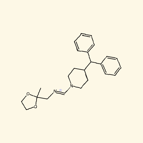 CC1(C/N=C/N2CCC(C(c3ccccc3)c3ccccc3)CC2)OCCO1